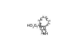 O=C(O)CCN1CC2(CCNCC2)OC12CCCCCCCCCCC2